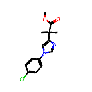 COC(=O)C(C)(C)c1cn(-c2ccc(Cl)cc2)cn1